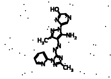 Cc1nc(/N=N/c2c(C)nn(-c3cncc(O)n3)c2N)n(-c2ccccn2)n1